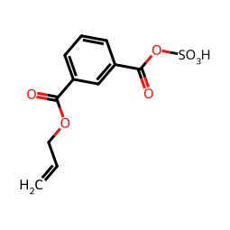 C=CCOC(=O)c1cccc(C(=O)OS(=O)(=O)O)c1